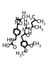 COc1ccc(CC(=O)N=C(N)N[C@H](C)CC(C)C)cc1OC.O=C(O)NCc1ccc(-c2nnc(O)o2)cc1